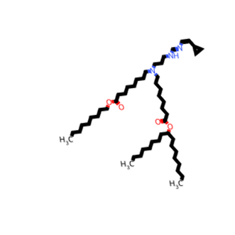 CCCCCCCCCOC(=O)CCCCCCCN(CCCCCCCC(=O)OC(CCCCCCCC)CCCCCCCC)CCCN/C=N/C=C\C1CC1